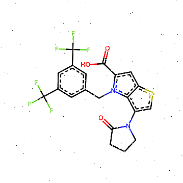 O=C(O)c1cc2scc(N3CCCC3=O)c2n1Cc1cc(C(F)(F)F)cc(C(F)(F)F)c1